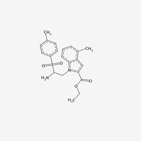 CCOC(=O)c1cc2c(C)cccc2n1CC(N)S(=O)(=O)c1ccc(C)cc1